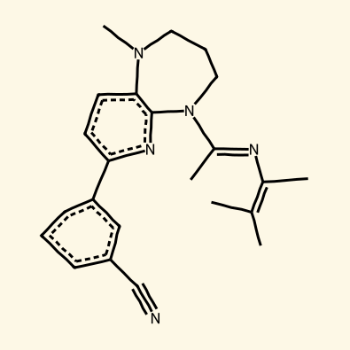 CC(C)=C(C)/N=C(\C)N1CCCN(C)c2ccc(-c3cccc(C#N)c3)nc21